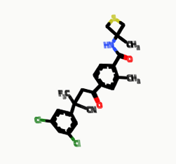 Cc1cc(C(=O)CC(C#N)(c2cc(Cl)cc(Cl)c2)C(F)(F)F)ccc1C(=O)NC1(C)CSC1